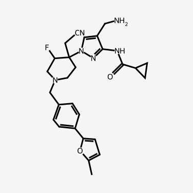 Cc1ccc(-c2ccc(CN3CCC(CC#N)(n4cc(CN)c(NC(=O)C5CC5)n4)C(F)C3)cc2)o1